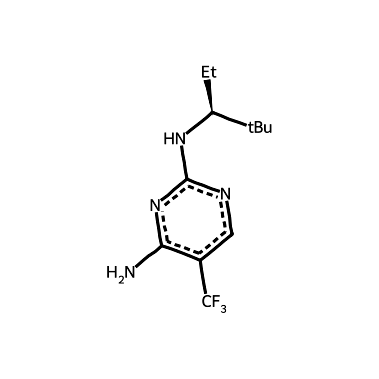 CC[C@H](Nc1ncc(C(F)(F)F)c(N)n1)C(C)(C)C